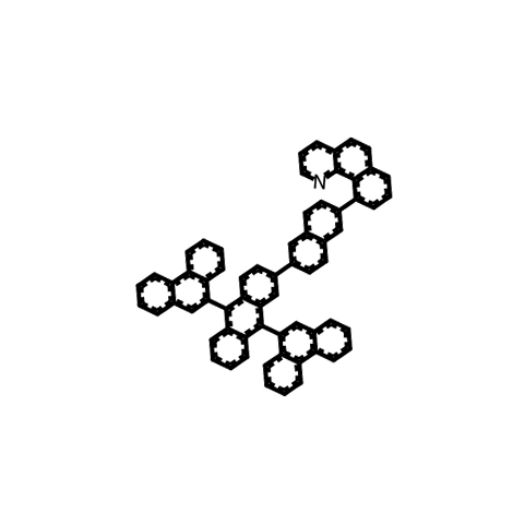 c1ccc2c(c1)cc(-c1c3ccccc3c(-c3cc4ccccc4c4ccccc34)c3cc(-c4ccc5cc(-c6cccc7ccc8cccnc8c67)ccc5c4)ccc13)c1ccccc12